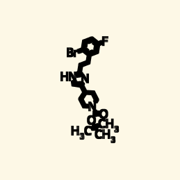 CC(C)(C)OC(=O)N1CCC(c2c[nH]c(CCc3cc(F)ccc3Br)n2)CC1